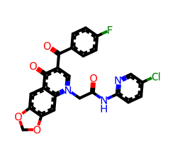 O=C(Cn1cc(C(=O)c2ccc(F)cc2)c(=O)c2cc3c(cc21)OCO3)Nc1ccc(Cl)cn1